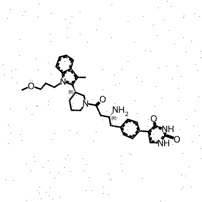 COCCCn1c([C@@H]2CCCN(C(=O)C[C@H](N)Cc3ccc(-c4c[nH]c(=O)[nH]c4=O)cc3)C2)c(C)c2ccccc21